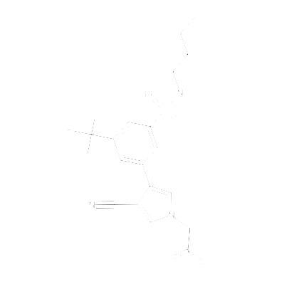 CCCCNS(=O)(=O)c1cc(-c2cn(CC(=O)O)cc2C#N)cc(C(F)(F)F)c1